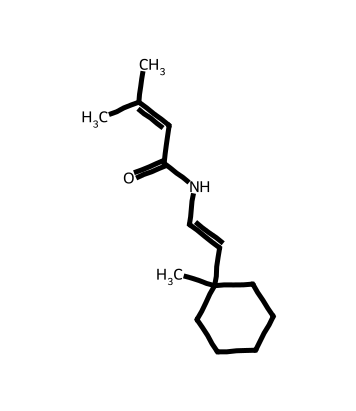 CC(C)=CC(=O)N/C=C/C1(C)CCCCC1